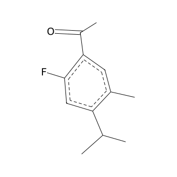 CC(=O)c1cc(C)c(C(C)C)cc1F